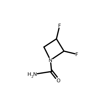 NC(=O)N1CC(F)C1F